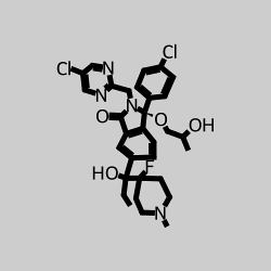 CCC(O)(c1ccc2c(c1)C(=O)N(Cc1ncc(Cl)cn1)[C@@]2(OCC(C)O)c1ccc(Cl)cc1)C1(F)CCN(C)CC1